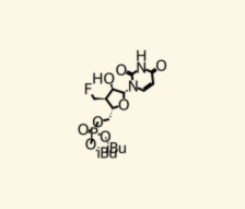 CC[C@@H](C)OP(=O)(OC[C@H]1O[C@@H](n2ccc(=O)[nH]c2=O)[C@H](O)[C@@H]1CF)O[C@H](C)CC